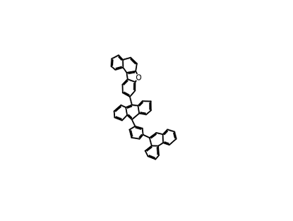 c1cc(-c2c3ccccc3c(-c3ccc4c(c3)oc3ccc5ccccc5c34)c3ccccc23)cc(-c2cc3ccccc3c3ccccc23)c1